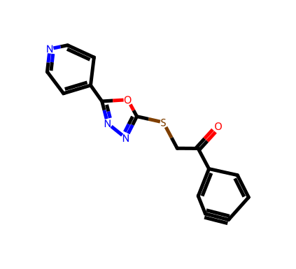 O=C(CSc1nnc(-c2ccncc2)o1)c1cc#ccc1